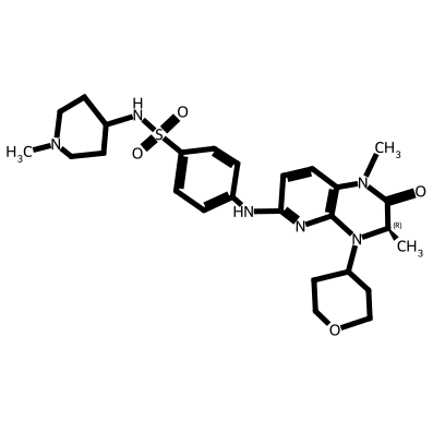 C[C@@H]1C(=O)N(C)c2ccc(Nc3ccc(S(=O)(=O)NC4CCN(C)CC4)cc3)nc2N1C1CCOCC1